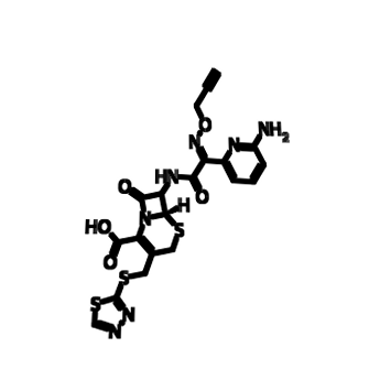 C#CCON=C(C(=O)NC1C(=O)N2C(C(=O)O)=C(CSc3nncs3)CS[C@@H]12)c1cccc(N)n1